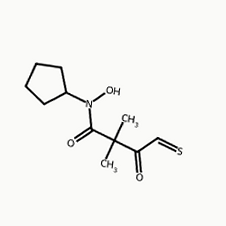 CC(C)(C(=O)C=S)C(=O)N(O)C1CCCC1